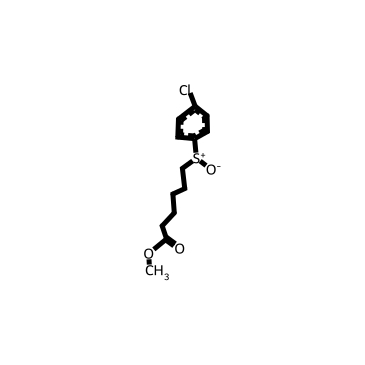 COC(=O)CCCCC[S+]([O-])c1ccc(Cl)cc1